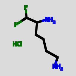 Cl.NCCCCC(N)C(F)F